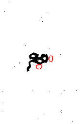 CC=CCC1C(=O)c2cc(OC)ccc2C12CCCC2